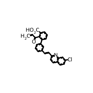 C=CC(=O)c1c(C(=O)O)cccc1-c1cccc(/C=C/c2ccc3ccc(Cl)cc3n2)c1